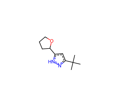 CC(C)(C)c1cc(C2CCCO2)[nH]n1